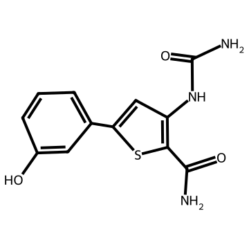 NC(=O)Nc1cc(-c2cccc(O)c2)sc1C(N)=O